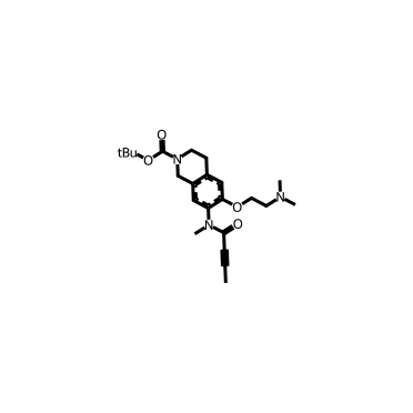 CC#CC(=O)N(C)c1cc2c(cc1OCCN(C)C)CCN(C(=O)OC(C)(C)C)C2